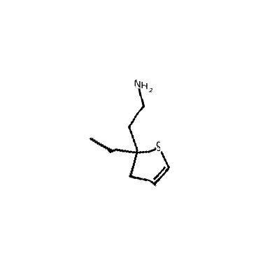 CCC1(CCN)CC=CS1